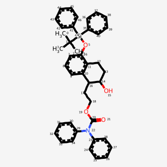 CC(C)(C)[Si](Oc1cccc2c1CCC(O)C2CCOC(=O)N(c1ccccc1)c1ccccc1)(c1ccccc1)c1ccccc1